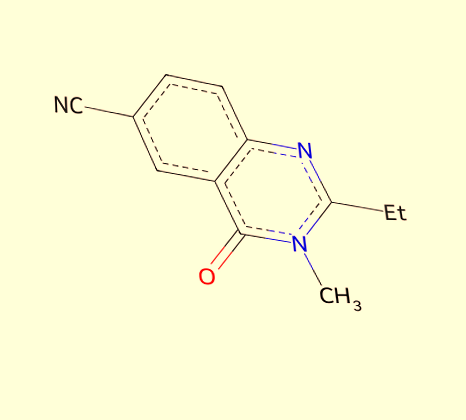 CCc1nc2ccc(C#N)cc2c(=O)n1C